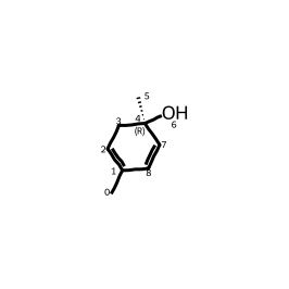 CC1=CC[C@@](C)(O)C=C1